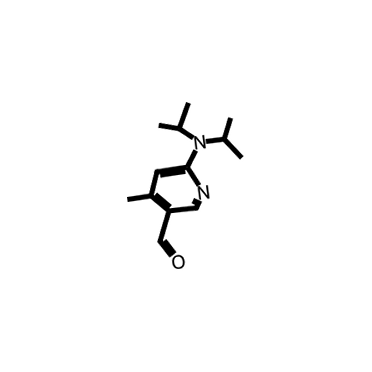 Cc1cc(N(C(C)C)C(C)C)ncc1C=O